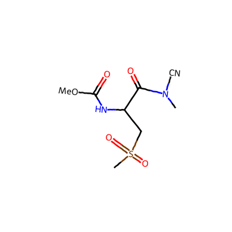 COC(=O)NC(CS(C)(=O)=O)C(=O)N(C)C#N